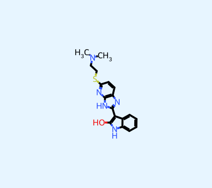 CN(C)CCSc1ccc2nc(-c3c(O)[nH]c4ccccc34)[nH]c2n1